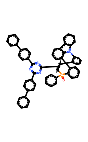 O=P1(c2ccccc2)c2ccccc2C2(c3ccccc3-n3c4ccccc4c4cccc2c43)c2ccc(-c3nc(-c4ccc(-c5ccccc5)cc4)nc(-c4ccc(-c5ccccc5)cc4)n3)cc21